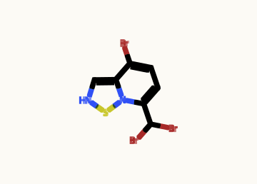 BrC1=CC=C(C(Br)Br)N2SNC=C12